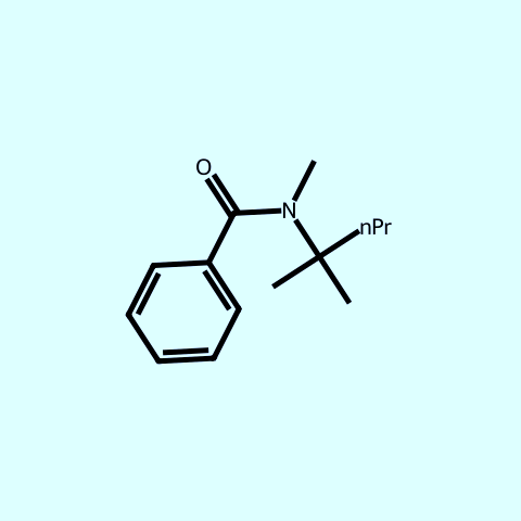 CCCC(C)(C)N(C)C(=O)c1ccccc1